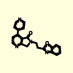 O=C1c2c(-c3ccncc3)ccnc2CN1CCc1nc2ccccc2o1